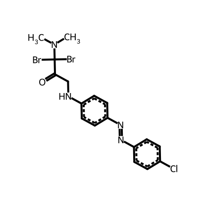 CN(C)C(Br)(Br)C(=O)CNc1ccc(/N=N/c2ccc(Cl)cc2)cc1